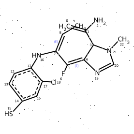 C=C(N)C1/C(=C(F)\C(=C/C)Nc2ccc(S)cc2Cl)N=CN1C